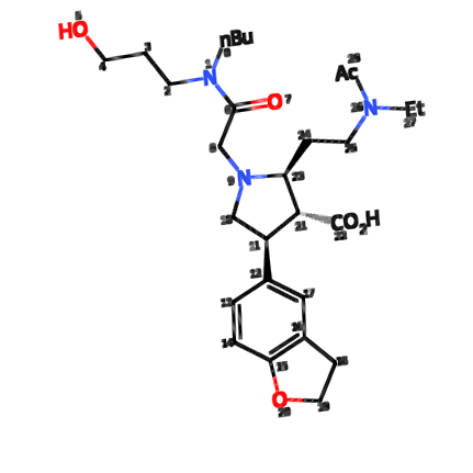 CCCCN(CCCO)C(=O)CN1C[C@H](c2ccc3c(c2)CCO3)[C@@H](C(=O)O)[C@@H]1CCN(CC)C(C)=O